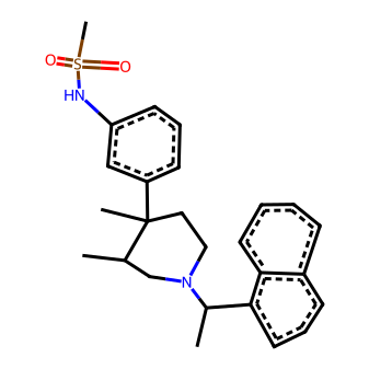 CC(c1cccc2ccccc12)N1CCC(C)(c2cccc(NS(C)(=O)=O)c2)C(C)C1